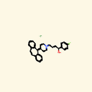 Cl.OC(CCCN1CCC(=C2c3ccccc3C=Cc3ccccc32)CC1)c1ccc(F)cc1